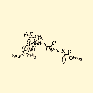 COC(=O)C(=O)SCCNC(=O)CCNC(=O)[C@@H]1OP(=O)(N[C@@H](C)C(=O)OC)OCC1(C)C